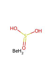 O=S(O)O.[BeH2]